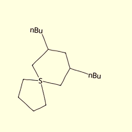 CCCCC1CC(CCCC)CS2(CCCC2)C1